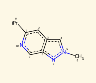 CC(C)c1cc2cn(C)nc2cn1